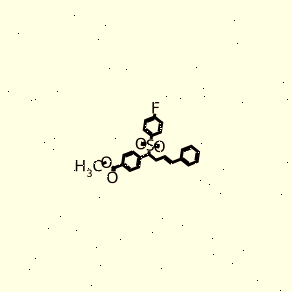 COC(=O)c1ccc(C(C/C=C/c2ccccc2)S(=O)(=O)c2ccc(F)cc2)cc1